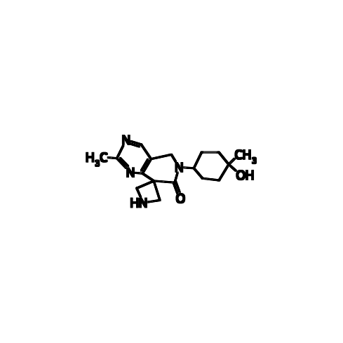 Cc1ncc2c(n1)C1(CNC1)C(=O)N(C1CCC(C)(O)CC1)C2